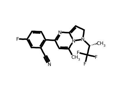 CC1=CC(c2ccc(F)cc2C#N)=NC2=CCN([C@H](C)C(F)(F)F)N12